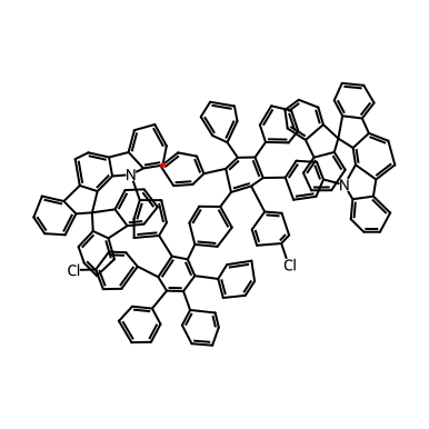 Clc1ccc(-c2c(-c3ccc(-c4c(-c5ccccc5)c(-c5ccccc5)c(-c5ccccc5)c(-c5ccc(Cl)cc5)c4-c4ccc(-n5c6ccccc6c6ccc7c(c65)C5(c6ccccc6-c6ccccc65)c5ccccc5-7)cc4)cc3)c(-c3ccccc3)c(-c3ccccc3)c(-c3ccccc3)c2-c2ccc(-n3c4ccccc4c4ccc5c(c43)C3(c4ccccc4-c4ccccc43)c3ccccc3-5)cc2)cc1